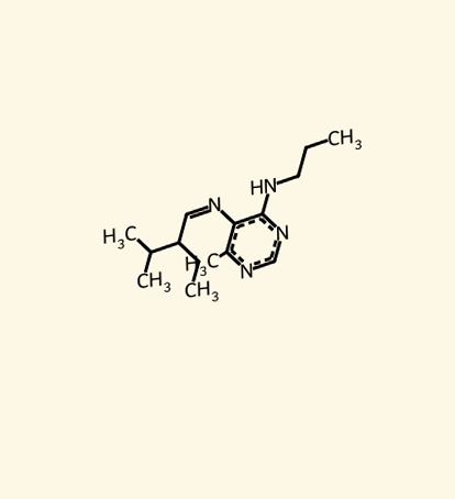 CCCNc1ncnc(C)c1/N=C\C(CC)C(C)C